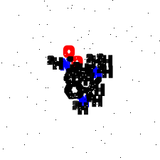 [2H]c1c(C([2H])([2H])CN(C)C([2H])([2H])[2H])c2cc(C[C@@H]3N([2H])C(=O)OC3([2H])[2H])ccc2n1[2H]